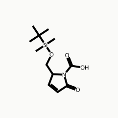 CC(C)(C)[Si](C)(C)OCC1C=CC(=O)N1C(=O)O